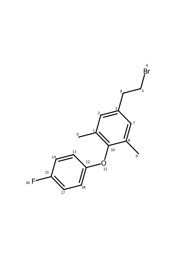 Cc1cc([CH]CBr)cc(C)c1Oc1ccc(F)cc1